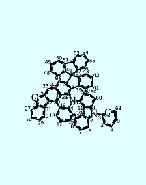 c1ccc(-n2c3ccccc3c3c(N(c4ccccc4-c4cccc5oc6ccccc6c45)c4cccc5c4-c4ccccc4C54c5ccccc5-c5ccccc54)cccc32)cc1